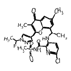 Cc1cc([C@@H](C)Nc2ccc(Cl)nc2C(=O)NS(C)(=O)=O)c2oc(-c3cnn(C(C)F)c3)c(C)c(=O)c2c1